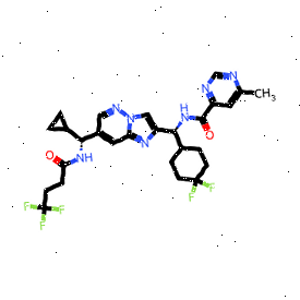 Cc1cc(C(=O)N[C@H](c2cn3ncc([C@H](NC(=O)CCC(F)(F)F)C4CC4)cc3n2)C2CCC(F)(F)CC2)ncn1